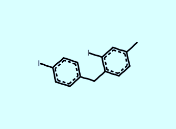 Cc1ccc(Cc2ccc(I)cc2)c(I)c1